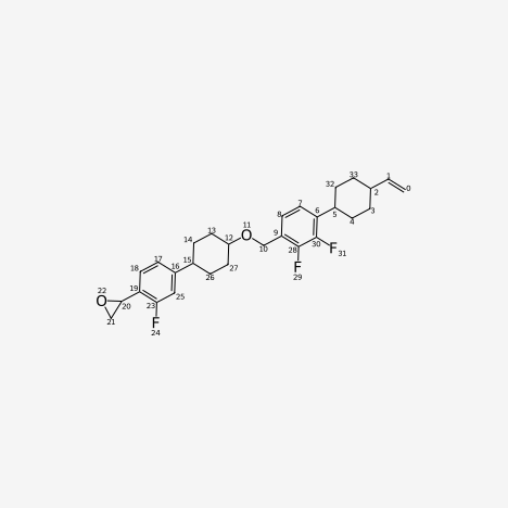 C=CC1CCC(c2ccc(COC3CCC(c4ccc(C5CO5)c(F)c4)CC3)c(F)c2F)CC1